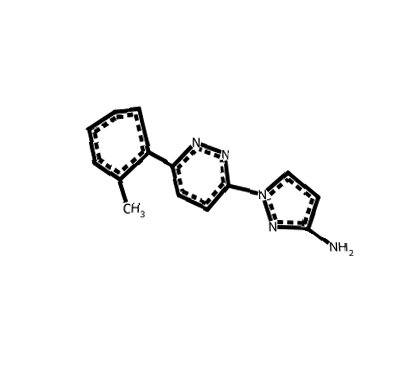 Cc1ccccc1-c1ccc(-n2ccc(N)n2)nn1